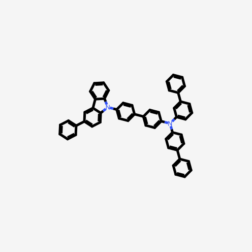 c1ccc(-c2ccc(N(c3ccc(-c4ccc(-n5c6ccccc6c6cc(-c7ccccc7)ccc65)cc4)cc3)c3cccc(-c4ccccc4)c3)cc2)cc1